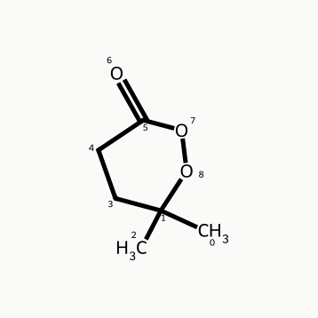 CC1(C)CCC(=O)OO1